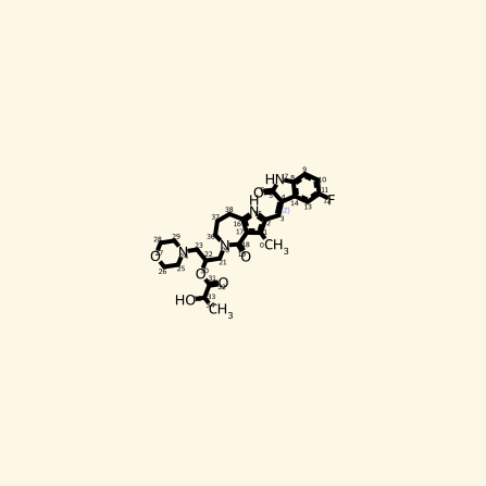 Cc1c(/C=C2\C(=O)Nc3ccc(F)cc32)[nH]c2c1C(=O)N(CC(CN1CCOCC1)OC(=O)C(C)O)CCC2